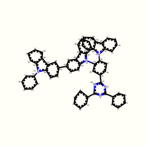 c1ccc(-c2nc(-c3ccccc3)nc(-c3ccc(-n4c5ccccc5c5ccccc54)c(-n4c5ccccc5c5cc(-c6ccc7c(c6)c6ccccc6n7-c6ccccc6)ccc54)c3)n2)cc1